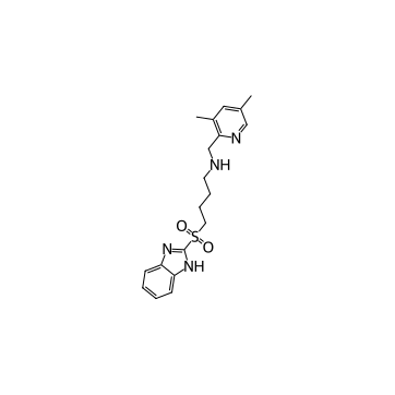 Cc1cnc(CNCCCCS(=O)(=O)c2nc3ccccc3[nH]2)c(C)c1